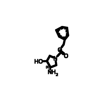 N[C@@H]1CN(C(=O)OCc2ccccc2)CC1O